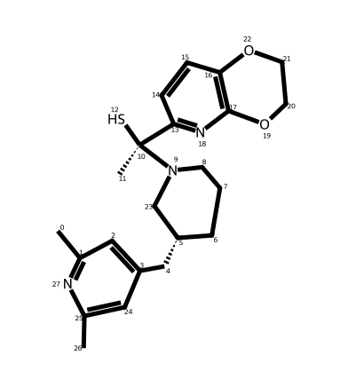 Cc1cc(C[C@H]2CCCN([C@@](C)(S)c3ccc4c(n3)OCCO4)C2)cc(C)n1